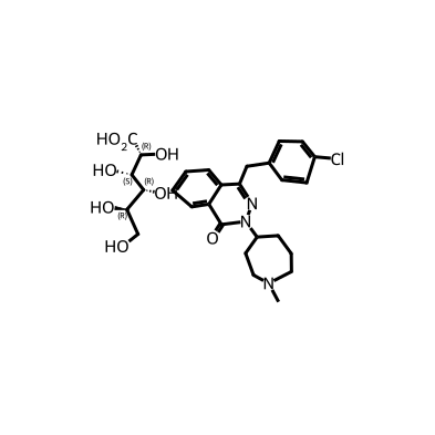 CN1CCCC(n2nc(Cc3ccc(Cl)cc3)c3ccccc3c2=O)CC1.O=C(O)[C@H](O)[C@@H](O)[C@H](O)[C@H](O)CO